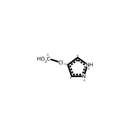 O=C(O)Cl.c1cn[nH]c1